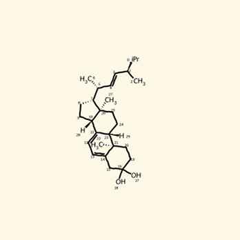 CC(C)[C@@H](C)/C=C/[C@@H](C)[C@H]1CC[C@H]2C3=CC=C4CC(O)(O)CC[C@]4(C)[C@H]3CC[C@]12C